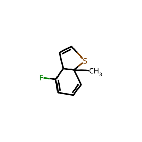 CC12C=CC=C(F)C1C=CS2